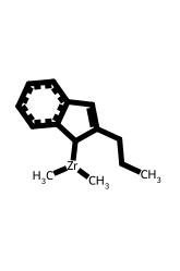 CCCC1=Cc2ccccc2[CH]1[Zr]([CH3])[CH3]